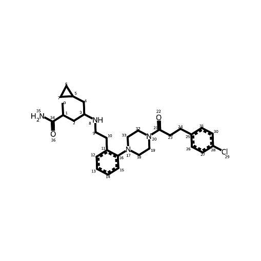 CC(CC(CC1CC1)NCCc1ccccc1N1CCN(C(=O)[CH]Cc2ccc(Cl)cc2)CC1)C(N)=O